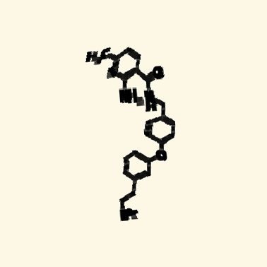 Cc1ccc(C(=O)NCc2ccc(Oc3cccc(CCC(C)C)c3)cc2)c(N)n1